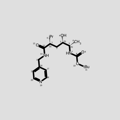 CC(C)[C@H](C[C@H](O)[C@H](C)NC(=O)OC(C)(C)C)C(=O)NCc1ccncc1